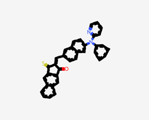 O=C1C(=Cc2ccc3cc(N(c4ccccc4)c4ccccn4)ccc3c2)C(=S)c2cc3ccccc3cc21